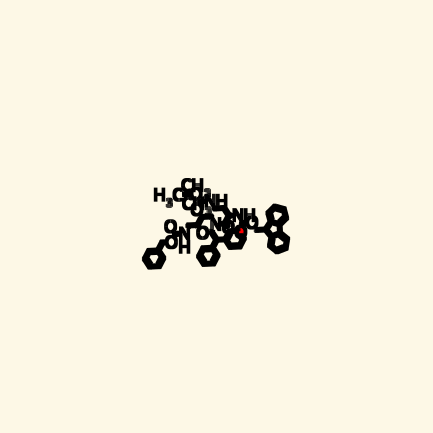 CC(C)(C)OC(=O)NCCC(NC(=O)OCC1c2ccccc2-c2ccccc21)C(=O)N(CCC(=O)CNC(=O)OCc1ccccc1)CC(c1ccccc1)c1ccccc1